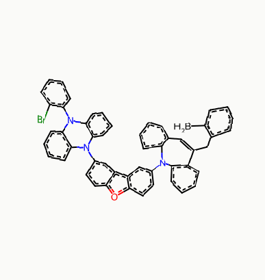 Bc1ccccc1CC1=Cc2ccccc2N(c2ccc3oc4ccc(N5c6ccccc6N(c6ccccc6Br)c6ccccc65)cc4c3c2)c2ccccc21